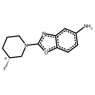 Nc1ccc2oc(N3CCC[C@@H](F)C3)nc2c1